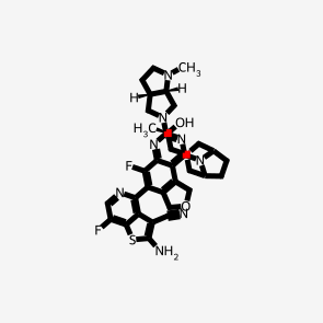 C[C@@H](O)CN1CC2CCC(C1)N2c1nc(N2C[C@@H]3CCN(C)[C@@H]3C2)nc2c(F)c(-c3ncc(F)c4sc(N)c(C#N)c34)c3c(c12)COC3